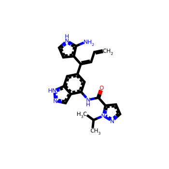 C=C/C=C(/c1cc(NC(=O)c2ccnn2C(C)C)c2cn[nH]c2c1)c1cc[nH]c1N